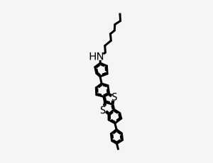 CCCCCCCCNc1ccc(-c2ccc3c(c2)sc2c4ccc(-c5ccc(C)cc5)cc4sc32)cc1